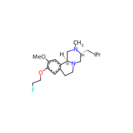 COc1cc2c(cc1OCCF)CCN1C[C@@H](CC(C)C)N(C)C[C@H]21